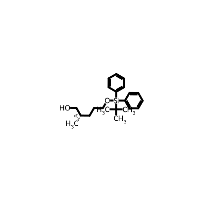 C[C@H](CO)CCCO[Si](c1ccccc1)(c1ccccc1)C(C)(C)C